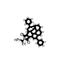 CCCC(CC)n1c(=O)c2c3cc(-c4ccccc4)c4ccc5ccc6c(-c7ccccc7)cc(c2c1=O)c1c6c5c4c31